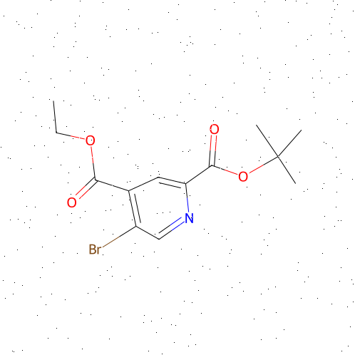 CCOC(=O)c1cc(C(=O)OC(C)(C)C)ncc1Br